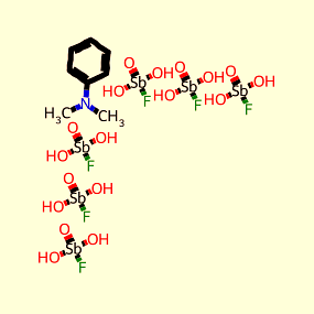 CN(C)c1ccccc1.[O]=[Sb]([OH])([OH])[F].[O]=[Sb]([OH])([OH])[F].[O]=[Sb]([OH])([OH])[F].[O]=[Sb]([OH])([OH])[F].[O]=[Sb]([OH])([OH])[F].[O]=[Sb]([OH])([OH])[F]